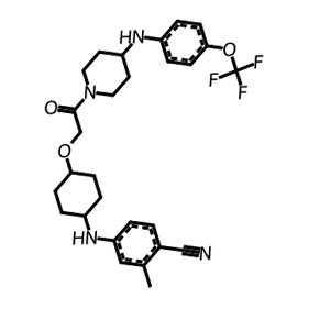 Cc1cc(NC2CCC(OCC(=O)N3CCC(Nc4ccc(OC(F)(F)F)cc4)CC3)CC2)ccc1C#N